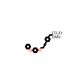 CCOC(=O)[C@H](Cc1ccc(C#CCCOc2ccc(Oc3ccccc3)cc2)cc1)OC